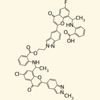 CC(Nc1ccccc1C(=O)O)c1cc(F)cc2c(=O)cc(-c3ccc4nn(CCOC(=O)c5ccccc5NC(C)c5cc(Cl)cc6c(=O)cc(-c7ccc8nn(C)cc8c7)oc56)cc4c3)oc12